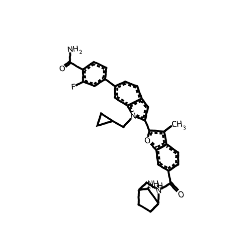 Cc1c(-c2cc3ccc(-c4ccc(C(N)=O)c(F)c4)cc3n2CC2CC2)oc2cc(C(=O)N3CC4CCC3[C@@H]4N)ccc12